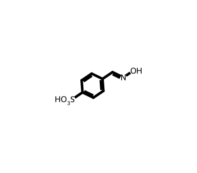 O=S(=O)(O)c1ccc(C=NO)cc1